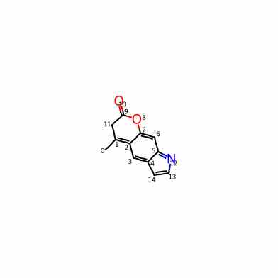 CC1=c2cc3c(cc2OC(=O)C1)=NC=C3